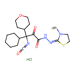 CCCN1CCSC1=NNC(=O)C(=O)C(N=C=O)(C1CCCCC1)C1CCOCC1.Cl